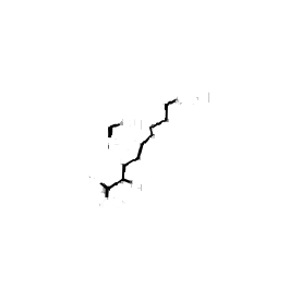 CC(C)(C)CO.CCCCCCCCC(Br)C(Br)CCCCCCCC(=O)O